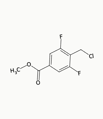 COC(=O)c1cc(F)c(CCl)c(F)c1